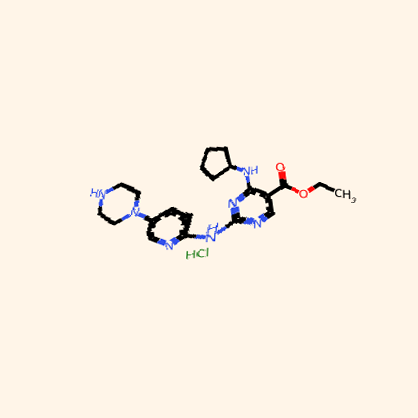 CCOC(=O)c1cnc(Nc2ccc(N3CCNCC3)cn2)nc1NC1CCCC1.Cl